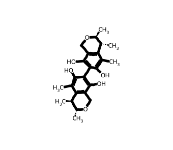 Cc1c(O)c(-c2c(O)c(C)c3c(c2O)CO[C@H](C)[C@H]3C)c(O)c2c1[C@@H](C)[C@H](C)OC2